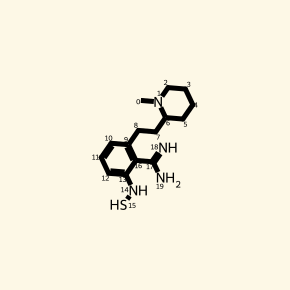 CN1CCCCC1CCc1cccc(NS)c1C(=N)N